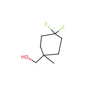 CC1(CO)CCC(F)(F)CC1